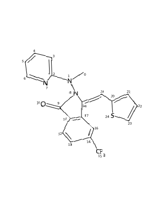 CN(c1ccccn1)N1C(=O)c2ccc(C(F)(F)F)cc2C1=Cc1cccs1